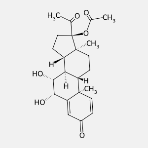 CC(=O)O[C@]1(C(C)=O)CC[C@H]2[C@@H]3[C@@H](O)[C@@H](O)C4=CC(=O)C=C[C@]4(C)[C@H]3CC[C@@]21C